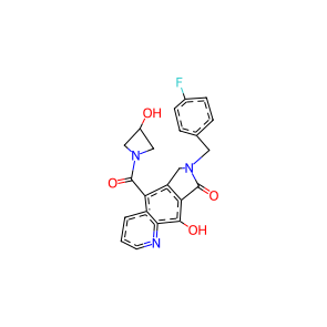 O=C1c2c(c(C(=O)N3CC(O)C3)c3cccnc3c2O)CN1Cc1ccc(F)cc1